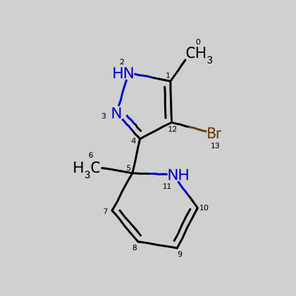 Cc1[nH]nc(C2(C)C=CC=CN2)c1Br